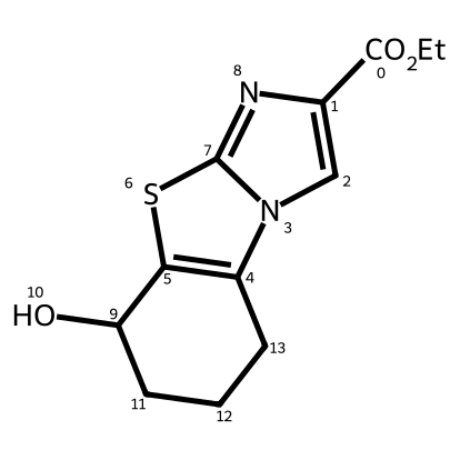 CCOC(=O)c1cn2c3c(sc2n1)C(O)CCC3